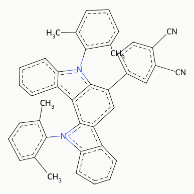 Cc1cccc(C)c1-n1c2ccccc2c2c1c(-c1ccc(C#N)c(C#N)c1)cc1c3ccccc3n(-c3c(C)cccc3C)c12